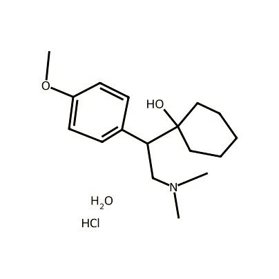 COc1ccc(C(CN(C)C)C2(O)CCCCC2)cc1.Cl.O